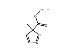 CCOC(=O)OC(=O)C1(C)C=CN=N1